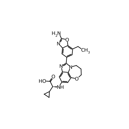 CCc1cc(-c2nc3cc(N[C@H](C(=O)O)C4CC4)cc4c3n2CCCO4)cc2nc(N)oc12